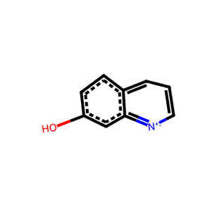 Oc1ccc2c(c1)=[N+]C=CC=2